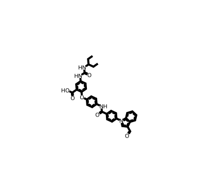 CCC(CC)NC(=O)Nc1ccc(Oc2ccc(NC(=O)c3ccc(-n4cc(C=O)c5ccccc54)cc3)cc2)c(C(=O)O)c1